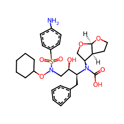 Nc1ccc(S(=O)(=O)N(C[C@@H](O)[C@H](Cc2ccccc2)N(C(=O)O)[C@H]2CO[C@H]3OCC[C@H]32)OC2CCCCC2)cc1